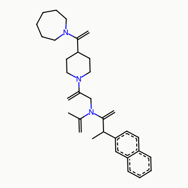 C=C(CN(C(=C)C)C(=C)C(C)c1ccc2ccccc2c1)N1CCC(C(=C)N2CCCCCC2)CC1